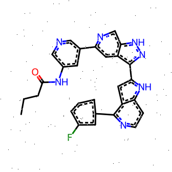 CCCC(=O)Nc1cncc(-c2cc3c(-c4cc5c(-c6cccc(F)c6)nccc5[nH]4)n[nH]c3cn2)c1